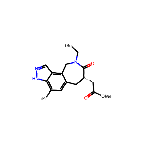 COC(=O)C[C@@H]1Cc2cc(C(C)C)c3[nH]ncc3c2CN(CC(C)(C)C)C1=O